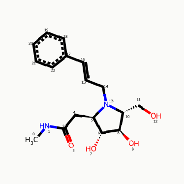 CNC(=O)C[C@@H]1[C@@H](O)[C@H](O)[C@@H](CO)N1CC=Cc1ccccc1